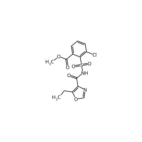 CCc1ocnc1C(=O)NS(=O)(=O)c1c(Cl)cccc1C(=O)OC